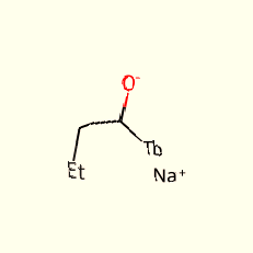 CCC[CH]([O-])[Tb].[Na+]